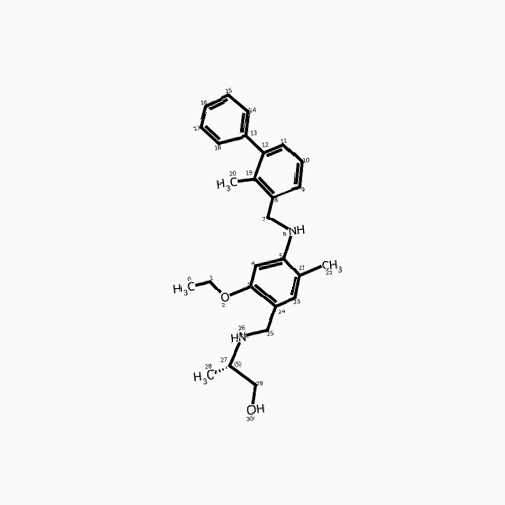 CCOc1cc(NCc2cccc(-c3ccccc3)c2C)c(C)cc1CN[C@@H](C)CO